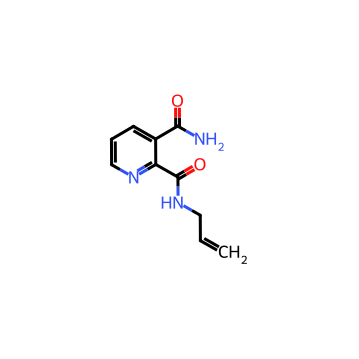 C=CCNC(=O)c1ncccc1C(N)=O